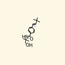 CC(C)(C)/C=C/c1ccc(C(=O)NC(C)(C)CO)cc1